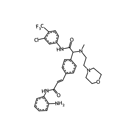 CN(CCN1CCOCC1)C(C(=O)Nc1ccc(C(F)(F)F)c(Cl)c1)c1ccc(C=CC(=O)Nc2ccccc2N)cc1